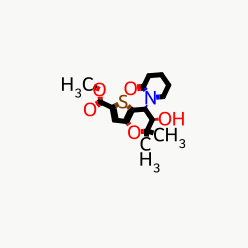 COC(=O)c1cc2c(s1)[C@H](N1CCCCC1=O)[C@@H](O)C(C)(C)O2